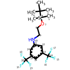 CC(C)(C)[Si](C)(C)OCCNc1cc(C(F)(F)F)cc(C(F)(F)F)c1